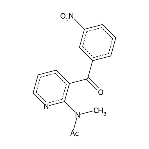 CC(=O)N(C)c1ncccc1C(=O)c1cccc([N+](=O)[O-])c1